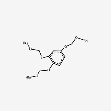 CCC(C)OCOc1ccc(OCOC(C)CC)c(OCOC(C)CC)c1